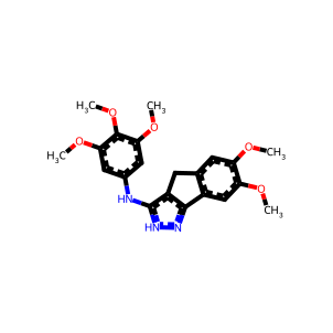 COc1cc2c(cc1OC)-c1n[nH]c(Nc3cc(OC)c(OC)c(OC)c3)c1C2